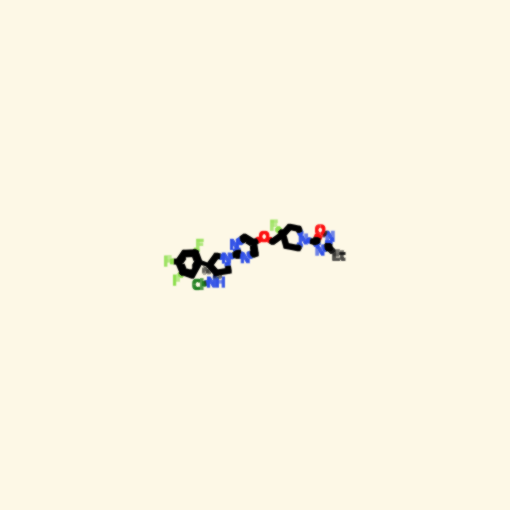 CCc1noc(N2CCC(F)(COc3cnc(N4C[C@H](NCl)[C@@H](c5cc(F)c(F)cc5F)C4)nc3)CC2)n1